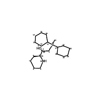 C[Si](C[C@H](O)[C@@H]1CCCCN1)(C1CCCCC1)C1CCCCC1